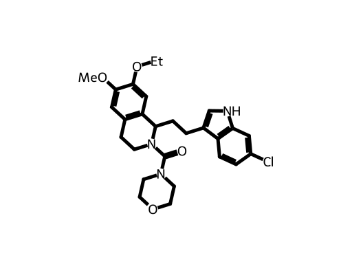 CCOc1cc2c(cc1OC)CCN(C(=O)N1CCOCC1)C2CCc1c[nH]c2cc(Cl)ccc12